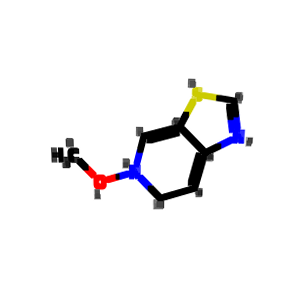 CON1C=c2s[c]nc2=CC1